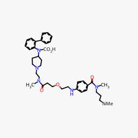 CNCCCN(C)C(=O)c1ccc(NCCOCCC(=O)N(C)CCN2CCC(N(C(=O)O)c3ccccc3-c3ccccc3)CC2)cc1